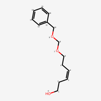 OCC/C=C\CCOCOCc1ccccc1